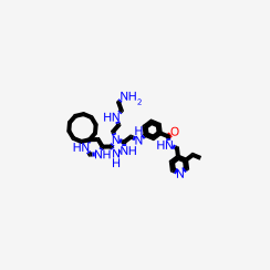 CCc1cnccc1CNC(=O)c1cccc(NCC2NNC(C3CC4(CCCCCCCCC4)NCN3)N2CCNCCN)c1